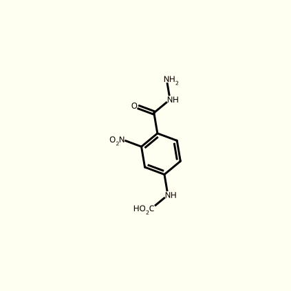 NNC(=O)c1ccc(NC(=O)O)cc1[N+](=O)[O-]